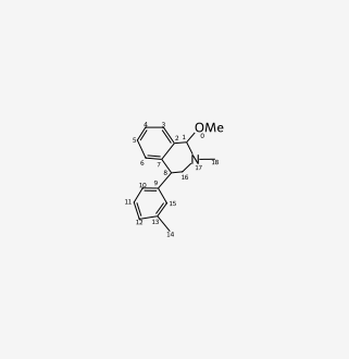 COC1c2ccccc2C(c2cccc(C)c2)CN1C